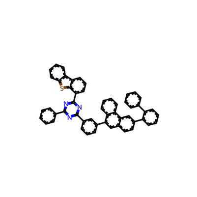 c1ccc(-c2nc(-c3cccc(-c4cc5ccc(-c6ccccc6-c6ccccc6)cc5c5ccccc45)c3)nc(-c3cccc4c3sc3ccccc34)n2)cc1